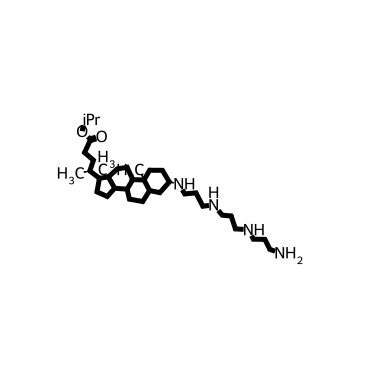 CC(C)OC(=O)CC[C@@H](C)C1CCC2C3CCC4C[C@@H](NCCCNCCCNCCCN)CC[C@]4(C)C3CC[C@@]21C